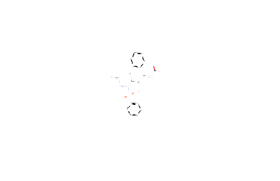 COc1ccc(S(=O)(=O)N(CC(C)C)C(Cc2ccccc2)C(O)CNC(=O)O)cc1